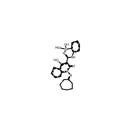 O=c1c(C2=NS(O)(O)c3ccccc3N2)c(O)c2ccccc2n1N=C1CCCCCC1